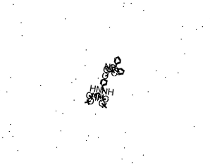 CC(C)(C)OC(=O)NCC(CNC(=O)OC(C)(C)C)NC(=N)c1ccc(OC[C@@H](ON)C(=O)OC(c2ccccc2)c2ccccc2)cc1